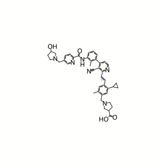 Cc1cc(/C=C/c2nccc(-c3cccc(NC(=O)c4ccc(CN5CCC(O)C5)cn4)c3C)c2C#N)c(C2CC2)cc1CN1CCC(C(=O)O)C1